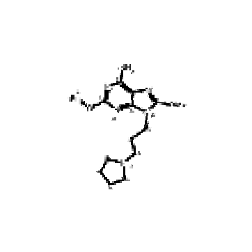 CCCCOc1nc(N)c2nc(OC)n(CCCN3CCCC3)c2n1